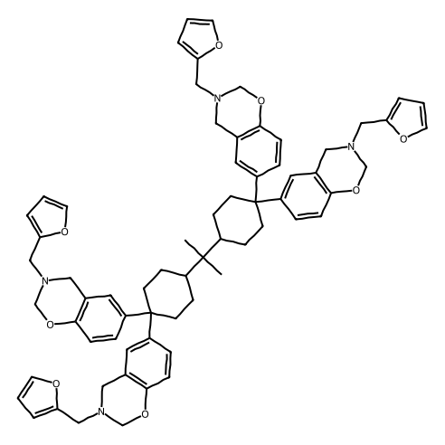 CC(C)(C1CCC(c2ccc3c(c2)CN(Cc2ccco2)CO3)(c2ccc3c(c2)CN(Cc2ccco2)CO3)CC1)C1CCC(c2ccc3c(c2)CN(Cc2ccco2)CO3)(c2ccc3c(c2)CN(Cc2ccco2)CO3)CC1